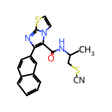 CC(CSC#N)NC(=O)c1c(-c2ccc3ccccc3c2)nc2sccn12